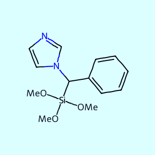 CO[Si](OC)(OC)C(c1ccccc1)n1ccnc1